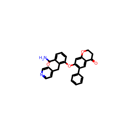 NC(=O)c1cccc(Oc2cc3c(cc2-c2ccccc2)C(=O)CCO3)c1Cc1ccncc1